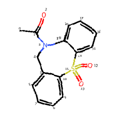 CC(=O)N1Cc2ccccc2S(=O)(=O)c2ccccc21